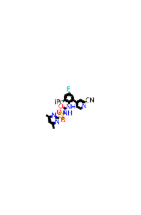 Cc1cc(C)nc(S(=O)(=O)NC(=O)Nc2c(-c3ccnc(C#N)c3)cc(F)cc2C(C)C)n1